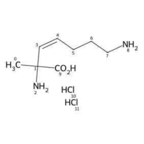 CC(N)(/C=C\CCCN)C(=O)O.Cl.Cl